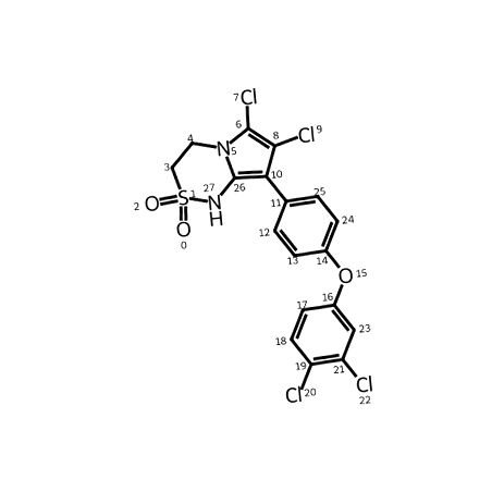 O=S1(=O)CCn2c(Cl)c(Cl)c(-c3ccc(Oc4ccc(Cl)c(Cl)c4)cc3)c2N1